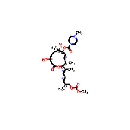 COC(=O)OC[C@@H](C)/C=C/C=C(\C)[C@H]1OC(=O)C[C@@H](O)CC[C@](C)(O)[C@H](OC(=O)N2CCN(C)CC2)/C=C/[C@@H]1C